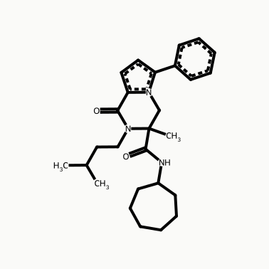 CC(C)CCN1C(=O)c2ccc(-c3ccccc3)n2CC1(C)C(=O)NC1CCCCCC1